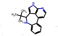 CC(C)(C)C1Nc2ccccc2-c2ccnc3[nH]cc1c23